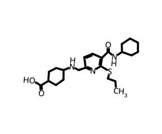 CCCSc1nc(CNC2CCC(C(=O)O)CC2)ccc1C(=O)NC1CCCCC1